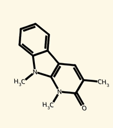 Cc1cc2c3ccccc3n(C)c2n(C)c1=O